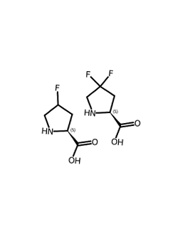 O=C(O)[C@@H]1CC(F)(F)CN1.O=C(O)[C@@H]1CC(F)CN1